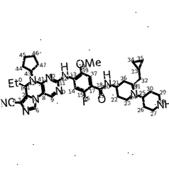 CC[C@@H]1c2c(C#N)ncn2-c2cnc(Nc3cc(F)c(C(=O)NC4CCN(C5CCNCC5)[C@H](CC5CC5)C4)cc3OC)nc2N1C1CCCC1